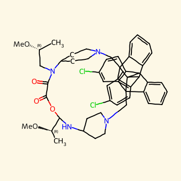 CO[C@H](C)CN1C(=O)C(=O)OC([C@@H](C)OC)NC2CCN(CC2)CC23c4ccccc4C(c4ccc(Cl)cc42)C32C3c4ccccc4C2(CN2CCC1CC2)c1cc(Cl)ccc13